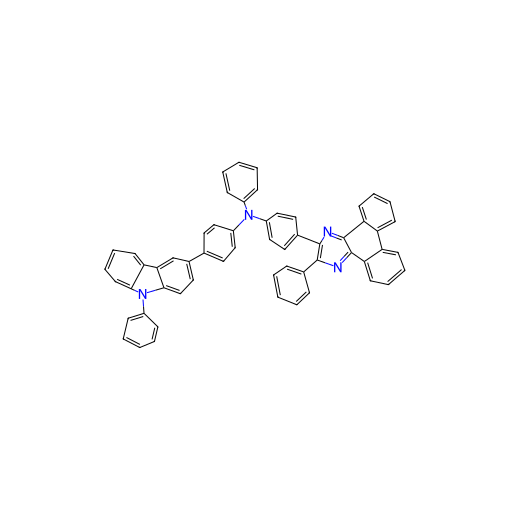 c1ccc(-c2nc3c4ccccc4c4ccccc4c3nc2-c2ccc(N(c3ccccc3)c3ccc(-c4ccc5c(c4)c4ccccc4n5-c4ccccc4)cc3)cc2)cc1